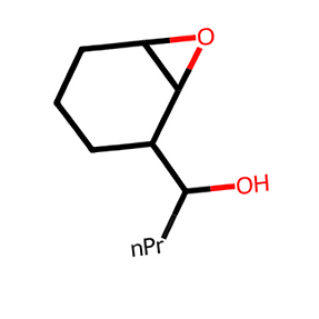 [CH2]CCC(O)C1CCCC2OC21